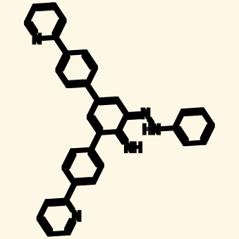 N=C1C(c2ccc(-c3ccccn3)cc2)=CC(c2ccc(-c3ccccn3)cc2)=C/C1=N/Nc1ccccc1